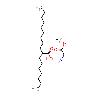 CCCCCCCCCC(CCCCCCC)C(=O)O.COC(=O)CN